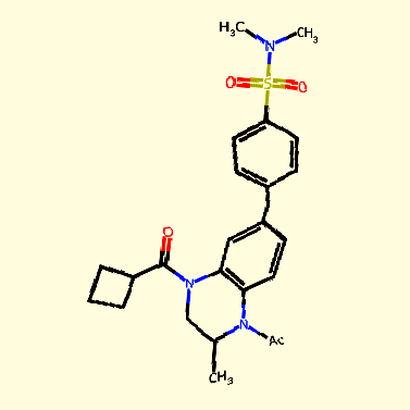 CC(=O)N1c2ccc(-c3ccc(S(=O)(=O)N(C)C)cc3)cc2N(C(=O)C2CCC2)CC1C